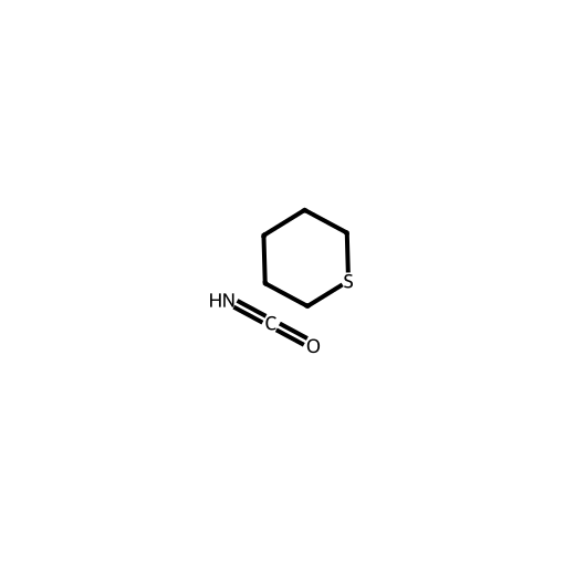 C1CCSCC1.N=C=O